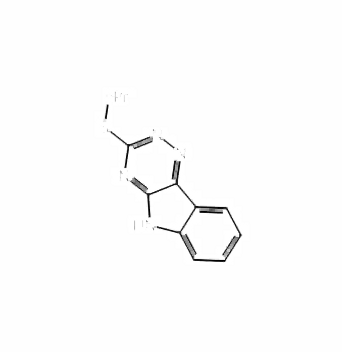 CCCSc1nnc2c(n1)[nH]c1ccccc12